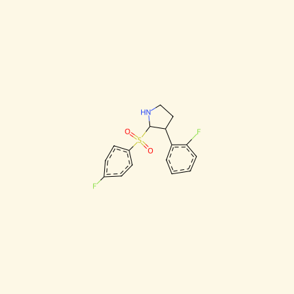 O=S(=O)(c1ccc(F)cc1)C1NCCC1c1ccccc1F